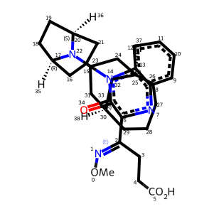 CO/N=C(\CCC(=O)O)c1nc2ccccc2n(C2C[C@H]3CC[C@@H](C2)N3C2C[C@H]3CCCC[C@@H](C2)C3)c1=O